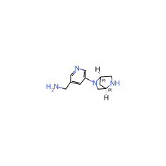 NCc1cncc(N2C[C@H]3C[C@@H]2CN3)c1